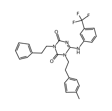 Cc1ccc(CCn2c(Nc3cccc(C(F)(F)F)c3)nc(=O)n(CCc3ccccc3)c2=O)cc1